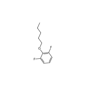 CCCCCOc1c(F)cccc1F